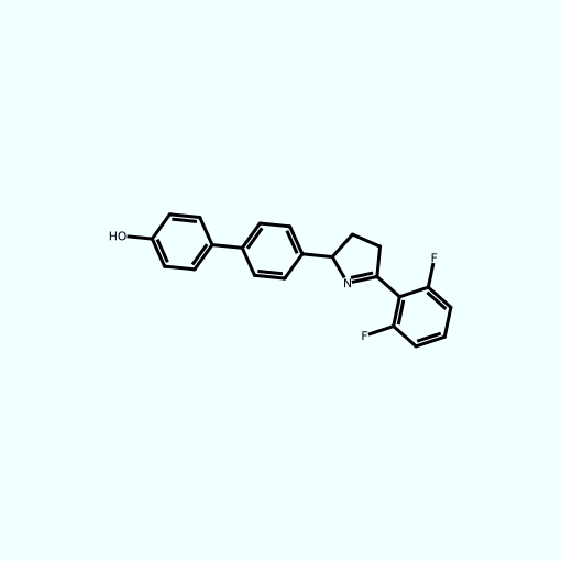 Oc1ccc(-c2ccc(C3CCC(c4c(F)cccc4F)=N3)cc2)cc1